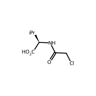 CC(C)[C@@H](NC(=O)CCl)C(=O)O